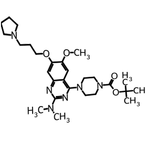 COc1cc2c(N3CCN(C(=O)OC(C)(C)C)CC3)nc(N(C)C)nc2cc1OCCCN1CCCC1